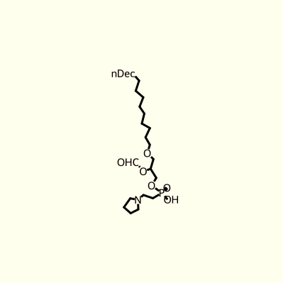 CCCCCCCCCCCCCCCCCCCOCC(COP(=O)(O)CCN1CCCC1)OC=O